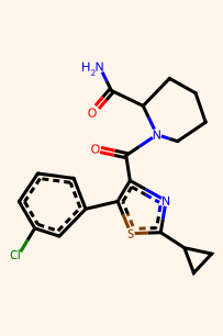 NC(=O)C1CCCCN1C(=O)c1nc(C2CC2)sc1-c1cccc(Cl)c1